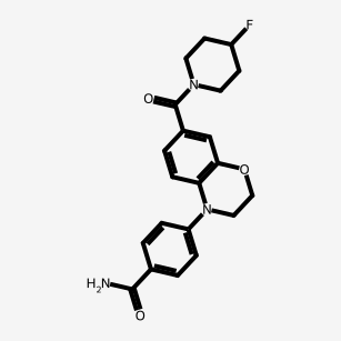 NC(=O)c1ccc(N2CCOc3cc(C(=O)N4CCC(F)CC4)ccc32)cc1